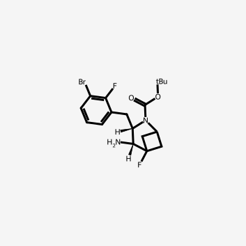 CC(C)(C)OC(=O)N1C2CC(F)(C2)[C@H](N)[C@@H]1Cc1cccc(Br)c1F